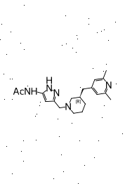 CC(=O)Nc1cc(CN2CCC[C@H](Cc3cc(C)nc(C)c3)C2)n[nH]1